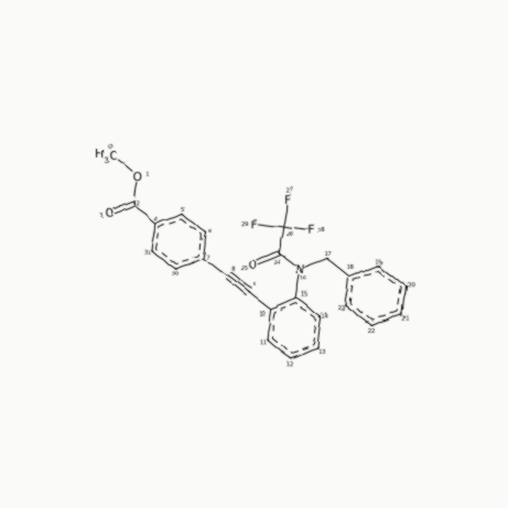 COC(=O)c1ccc(C#Cc2ccccc2N(Cc2ccccc2)C(=O)C(F)(F)F)cc1